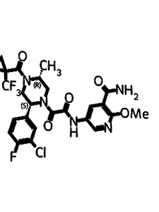 COc1ncc(NC(=O)C(=O)N2C[C@@H](C)N(C(=O)C3(C(F)(F)F)CC3)C[C@@H]2c2ccc(F)c(Cl)c2)cc1C(N)=O